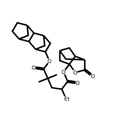 CCC(CC(C)(C)C(=O)OC1CC2CC1C1C3CCC(C3)C21)C(=O)OC12CC3CC(C(=O)O1)C2C3